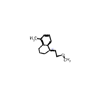 COC/C=C1\CCCc2c(C)cccc21